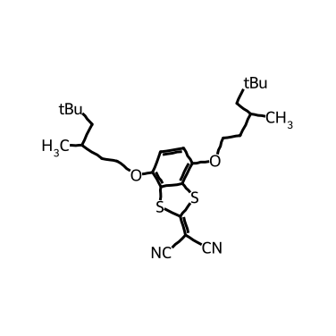 CC(CCOc1ccc(OCCC(C)CC(C)(C)C)c2c1SC(=C(C#N)C#N)S2)CC(C)(C)C